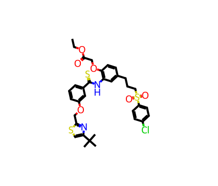 CCOC(=O)COc1ccc(CCCS(=O)(=O)c2ccc(Cl)cc2)cc1NC(=S)c1cccc(OCc2nc(C(C)(C)C)cs2)c1